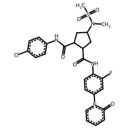 CN(C1CC(C(=O)Nc2ccc(Cl)cc2)C(C(=O)Nc2ccc(-n3ccccc3=O)cc2F)C1)S(C)(=O)=O